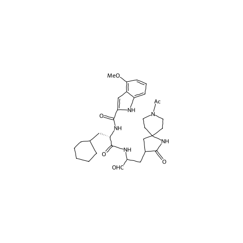 COc1cccc2[nH]c(C(=O)N[C@@H](CC3CCCCC3)C(=O)NC(C=O)CC3CC4(CCN(C(C)=O)CC4)NC3=O)cc12